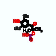 CC(C)(O[PH](=O)O)C(=O)c1cc(C(C)(C)C)c(O)c(C(C)(C)C)c1